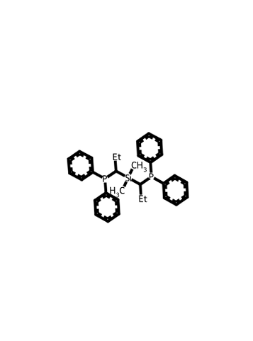 CCC(P(c1ccccc1)c1ccccc1)[Si](C)(C)C(CC)P(c1ccccc1)c1ccccc1